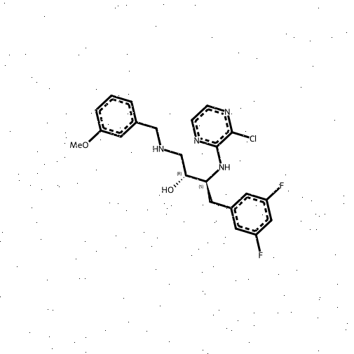 COc1cccc(CNC[C@@H](O)[C@H](Cc2cc(F)cc(F)c2)Nc2nccnc2Cl)c1